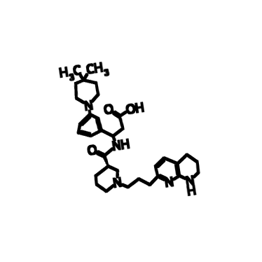 CC1(C)CCN(c2cccc(C(CC(=O)O)NC(=O)[C@@H]3CCCN(CCCc4ccc5c(n4)NCCC5)C3)c2)CC1